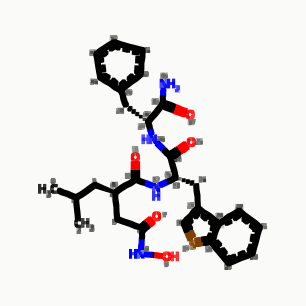 CC(C)C[C@H](CC(=O)NO)C(=O)N[C@@H](Cc1csc2ccccc12)C(=O)N[C@H](Cc1ccccc1)C(N)=O